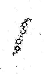 CCC[C@H]1CC[C@H]([C@H]2CC[C@H](CC[C@H]3CC[C@H](c4ccc(CF)cc4)CC3)CC2)CC1